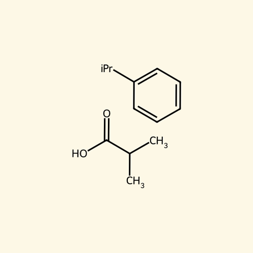 CC(C)C(=O)O.CC(C)c1ccccc1